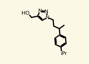 CC(C)c1ccc(C(C)CCn2cc(CO)nn2)cc1